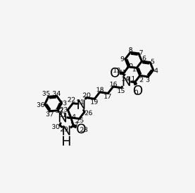 O=C1c2cccc3cccc(c23)C(=O)N1CCCCCCN1CCC2(CC1)C(=O)NCN2c1ccccc1